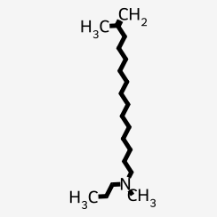 C=C(C)CCCCCCCCCCCCCN(C)CCC